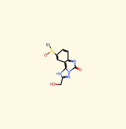 CC[S+]([O-])c1ccc2nc(=O)n3nc(CO)[nH]c3c2c1